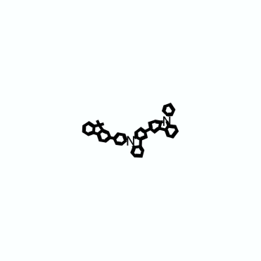 CC1(C)c2ccccc2-c2ccc(-c3ccc(-n4c5ccccc5c5cc(-c6ccc7c(c6)c6ccccc6n7-c6ccccc6)ccc54)cc3)cc21